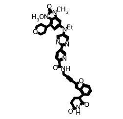 CCN(c1cnc(-c2ccc(C(=O)NCC#Cc3cc4c(C5CCC(=O)NC5=O)cccc4o3)nc2)nc1)c1cc(C2CCOCC2)c2c(c1)n(C)c(=O)n2C